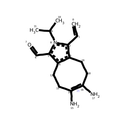 C=Cc1c2c(c(C=O)n1C(C)C)CC/C(N)=C(/N)CC2